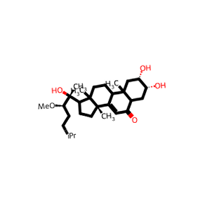 CO[C@H](CCC(C)C)[C@](C)(O)C1CC[C@@]2(C)C3=CC(=O)C4C[C@@H](O)[C@@H](O)CC4(C)C3CCC12C